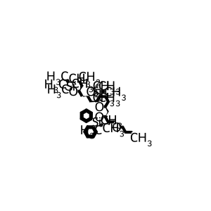 C=CC[C@@H](C[C@@H](C[C@H]1CCC[C@@H](C[C@H](CCOCCCC)O[Si](c2ccccc2)(c2ccccc2)C(C)(C)C)O1)O[Si](C)(C)C(C)(C)C)O[Si](C)(C)C(C)(C)C